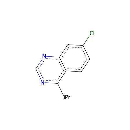 CC(C)c1ncnc2cc(Cl)ccc12